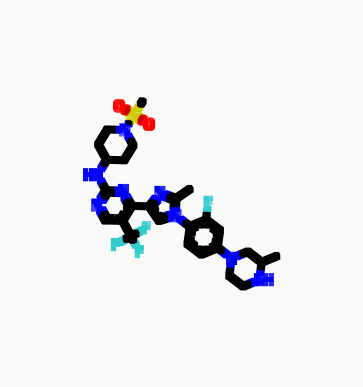 Cc1nc(-c2nc(NC3CCN(S(C)(=O)=O)CC3)ncc2C(F)(F)F)cn1-c1ccc(N2CCNC(C)C2)cc1F